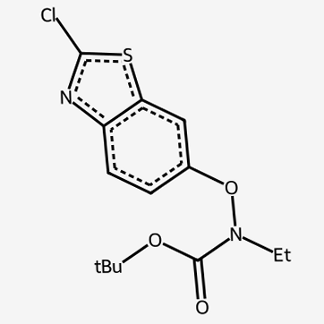 CCN(Oc1ccc2nc(Cl)sc2c1)C(=O)OC(C)(C)C